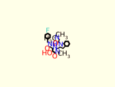 CN(C)CC(=O)N1c2ccccc2CC1c1nc(C(=O)NCc2ccc(F)cc2)c(O)c(=O)n1C